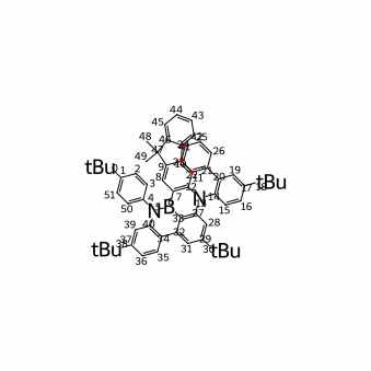 CC(C)(C)c1ccc(N2B3c4cc5c(cc4N(c4ccc(C(C)(C)C)cc4-c4ccccc4)c4cc(C(C)(C)C)cc(c43)-c3ccc(C(C)(C)C)cc32)-c2ccccc2C5(C)C)cc1